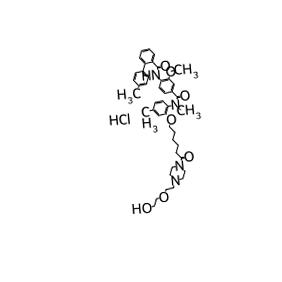 COc1cc(C(=O)N(C)c2ccc(C)cc2OCCCCCC(=O)N2CCN(CCOCCO)CC2)ccc1NC(=O)c1ccccc1-c1ccc(C)cc1.Cl